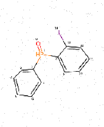 O=[PH](c1ccccc1)c1ccccc1I